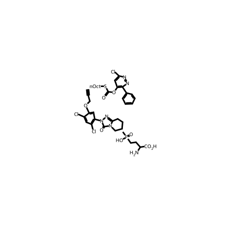 C#CCOc1cc(-n2nc3n(c2=O)CCCC3)c(Cl)cc1Cl.CCCCCCCCSC(=O)Oc1cc(Cl)nnc1-c1ccccc1.CP(=O)(O)CCC(N)C(=O)O